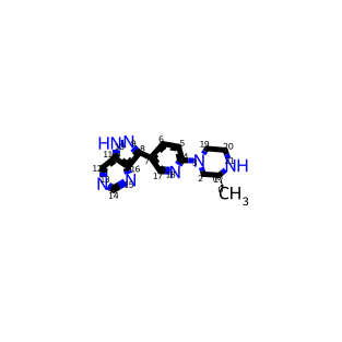 C[C@@H]1CN(c2ccc(-c3n[nH]c4cncnc34)cn2)CCN1